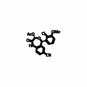 COc1cccc([C@@H]2O[C@@H](OC(C)=O)C(=O)Nc3ccc(C#N)cc32)c1Cl